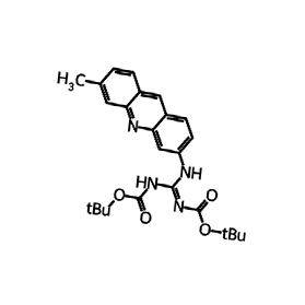 Cc1ccc2cc3ccc(N/C(=N\C(=O)OC(C)(C)C)NC(=O)OC(C)(C)C)cc3nc2c1